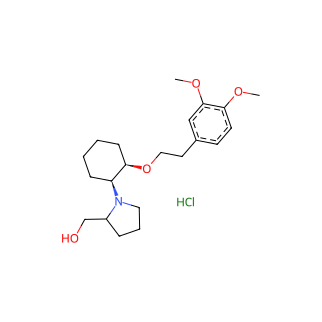 COc1ccc(CCO[C@@H]2CCCC[C@@H]2N2CCCC2CO)cc1OC.Cl